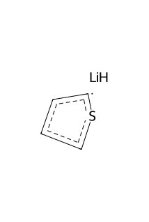 [LiH].[c]1cccs1